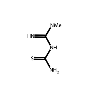 CNC(=N)NC(N)=S